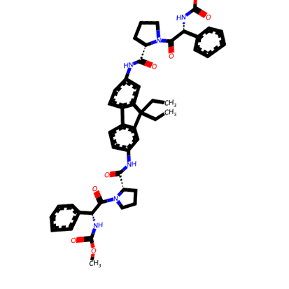 CCC1(CC)c2cc(NC(=O)[C@@H]3CCCN3C(=O)[C@H](NC(=O)OC)c3ccccc3)ccc2-c2ccc(NC(=O)[C@@H]3CCCN3C(=O)[C@H](NC(=O)OC)c3ccccc3)cc21